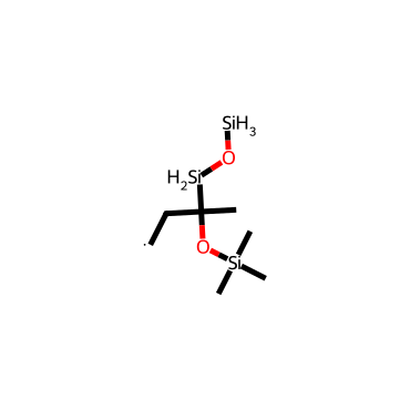 [CH2]CC(C)(O[Si](C)(C)C)[SiH2]O[SiH3]